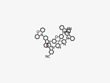 N#Cc1ccc2c(c1)c1ccccc1n2-c1cnc2c(c1)C1(c3ccc(-n4c5ccccc5c5ccccc54)cc3Oc3cc(-n4c5ccccc5c5cc(N6c7ccccc7Oc7ccccc76)ccc54)ccc31)c1cc(-n3c4ccccc4c4cc(C#N)ccc43)cnc1-2